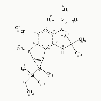 CC[Si](C)(C)[Si]1(C)C2=C1[CH]([Zr+2])c1ccc(O[Si](C)(C)C)c(NC(C)(C)C)c12.[Cl-].[Cl-]